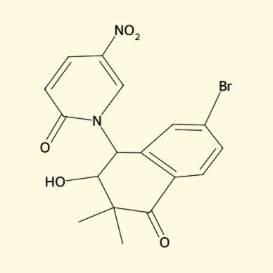 CC1(C)C(=O)c2ccc(Br)cc2C(n2cc([N+](=O)[O-])ccc2=O)C1O